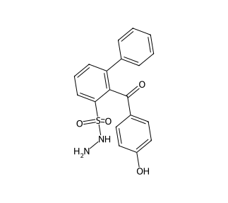 NNS(=O)(=O)c1cccc(-c2ccccc2)c1C(=O)c1ccc(O)cc1